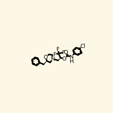 O=C(Nc1ccc(Cl)cc1)O[C@@H](CN1CCO[C@H](Cc2ccccc2)C1)C(F)(F)F